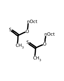 CCCCCCCCOC(C)=S.CCCCCCCCOC(C)=S